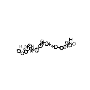 Nc1ncnc2c1c(-c1ccc(Oc3ccccc3)cc1)nn2[C@@H]1CCCN(C2CCN(C(=O)N3CCN(CCN4CCC(c5ccc6c(c5)CN(C5CCC(=O)NC5=O)C6)CC4)CC3)CC2)C1